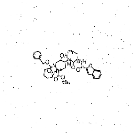 CC(C)C[C@H](NC(=O)c1cc2ccccc2o1)C(=O)NC1CC[N+](C(=O)OC(C)(C)C)(N2CCCCC2)N(C(=O)OCc2ccccc2)CC1O